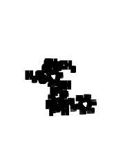 COc1cc(Nc2ncc(C(F)(F)F)c(NCCc3ccccc3)n2)cc(OC)c1OC